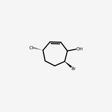 OC1C=C[C@@H](Cl)CC[C@@H]1Br